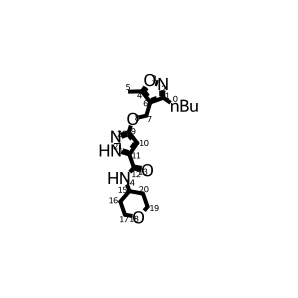 CCCCc1noc(C)c1COc1cc(C(=O)NC2CCOCC2)[nH]n1